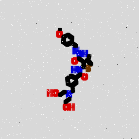 COc1ccc(/C=N/NC(=O)c2c(C)csc2NC(=O)c2cccc(CN(CCO)CCO)c2)cc1